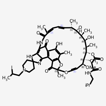 CO[C@H]1/C=C/O[C@@]2(C)Oc3c(C)c(O)c4c(c3C2=O)C2=NC3(CCN(CC(C)I)CC3)NC2=C(NC(=O)/C(C)=C\C=C\[C@H](C)[C@H](O)[C@@H](C)[C@@H](O)[C@@H](C)[C@H](OC(=O)CC(=O)NCC(C)C)[C@@H]1C)C4=O